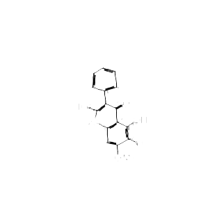 COc1cc2oc(O)c(-c3ccccc3)c(=O)c2c(O)c1O